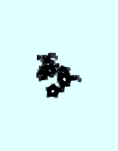 CC1(C)O[C@H]2[C@H](n3cnc4c(N)nc(OC5CCCC5)nc43)OC(CF)(CF)[C@H]2O1